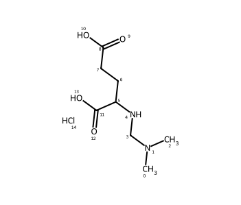 CN(C)CNC(CCC(=O)O)C(=O)O.Cl